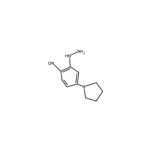 NNc1cc(N2CCCC2)ccc1N=O